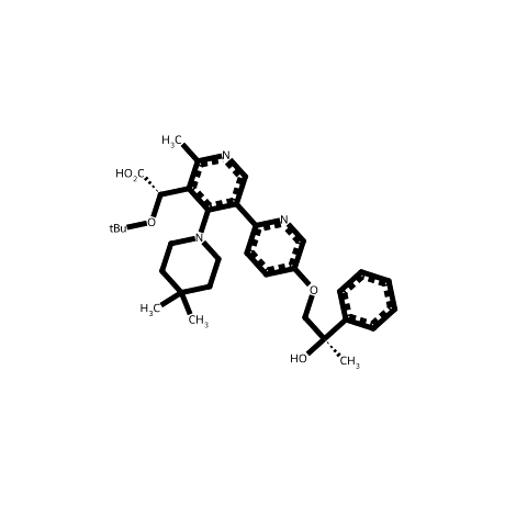 Cc1ncc(-c2ccc(OC[C@](C)(O)c3ccccc3)cn2)c(N2CCC(C)(C)CC2)c1[C@H](OC(C)(C)C)C(=O)O